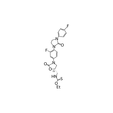 CCOC(=S)NC[C@H]1CN(c2ccc(N3CCN(c4ccc(F)cc4)C3=O)c(F)c2)C(=O)O1